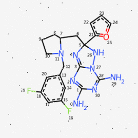 NC1=NC2=NC(CC3CCCN3Cc3cc(F)cc(F)c3)(c3ccco3)NN2C(N)=N1